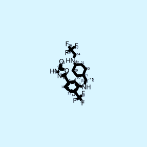 C[C@H](Nc1cc(-c2n[nH]c(=O)o2)ccc1C(F)(F)F)C1CCC(NCC(F)(F)F)CC1